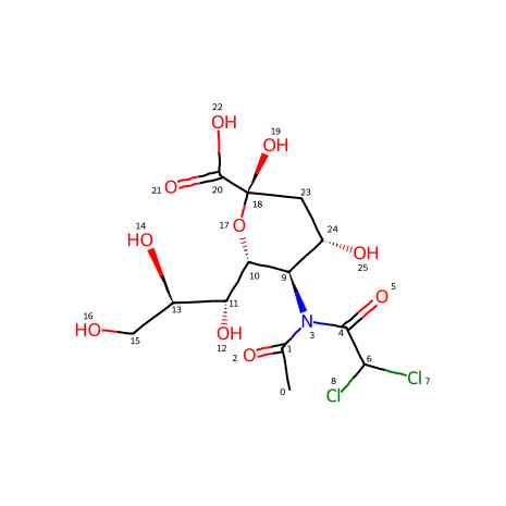 CC(=O)N(C(=O)C(Cl)Cl)[C@H]1[C@H]([C@H](O)[C@H](O)CO)O[C@](O)(C(=O)O)C[C@@H]1O